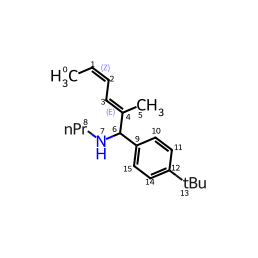 C/C=C\C=C(/C)C(NCCC)c1ccc(C(C)(C)C)cc1